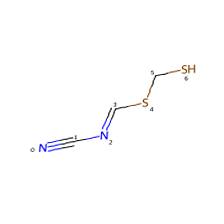 N#CN=CSCS